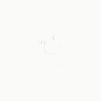 ClC1=CNNC1